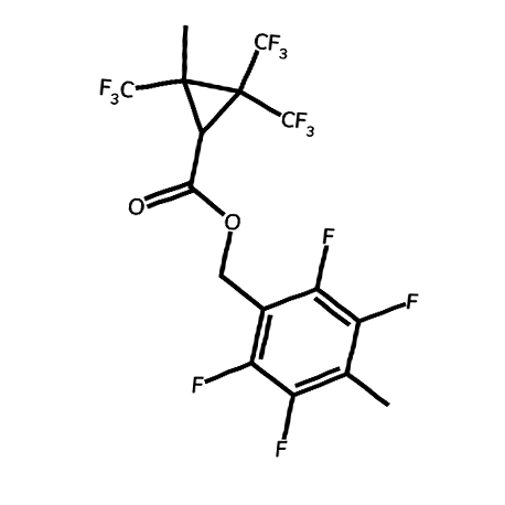 Cc1c(F)c(F)c(COC(=O)C2C(C)(C(F)(F)F)C2(C(F)(F)F)C(F)(F)F)c(F)c1F